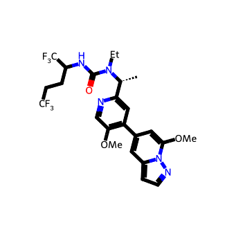 CCN(C(=O)NC(CCC(F)(F)F)C(F)(F)F)[C@H](C)c1cc(-c2cc(OC)n3nccc3c2)c(OC)cn1